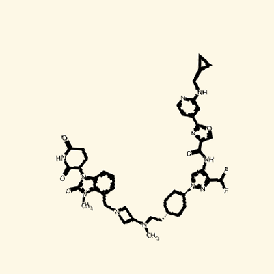 CN(CC[C@H]1CC[C@H](n2cc(NC(=O)c3coc(-c4ccnc(NCC5CC5)c4)n3)c(C(F)F)n2)CC1)C1CN(Cc2cccc3c2n(C)c(=O)n3C2CCC(=O)NC2=O)C1